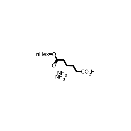 CCCCCCOC(=O)CCCCC(=O)O.N.N